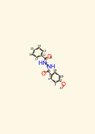 COc1ccc(C(=O)NNC(=O)c2ccccc2)cc1